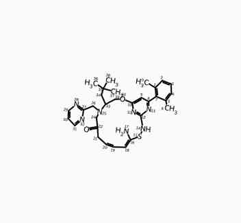 Cc1cccc(C)c1-c1cc2nc(n1)NS/C(N)=C/C=C\CC(=O)CN(Cc1ncccn1)C(CC(C)(C)C)CO2